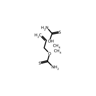 C.C.C=CCOC(N)=S.NC(O)=S